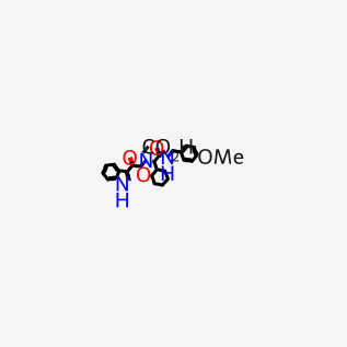 COc1ccc(CNC(=O)C(C2CCCCC2)N(CC(=O)O)C(=O)C(=O)c2c[nH]c3ccccc23)cc1